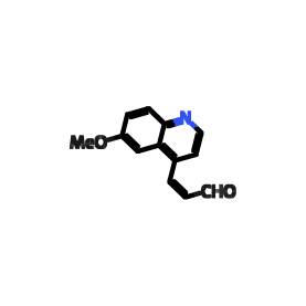 COc1ccc2nccc(/C=C\C=O)c2c1